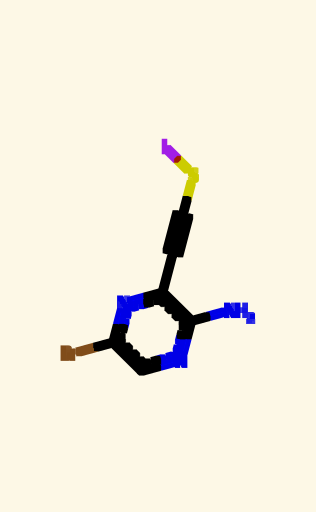 Nc1ncc(Br)nc1C#CSI